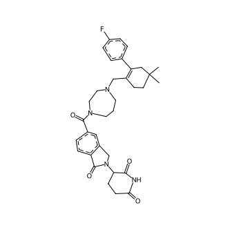 CC1(C)CCC(CN2CCCN(C(=O)c3ccc4c(c3)CN(C3CCC(=O)NC3=O)C4=O)CC2)=C(c2ccc(F)cc2)C1